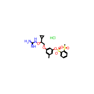 Cc1cc(OCC(ONC(=N)N)C2CC2)cc(OS(=O)(=O)c2ccccc2S(C)(=O)=O)c1.Cl